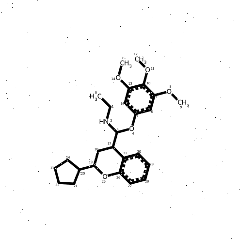 CCNC(Oc1cc(OC)c(OC)c(OC)c1)C1CC(C2CCCC2)Oc2ccccc21